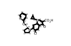 O=C(O)c1cn(C2CC2)c2cc(N3CCC[C@@H]3COc3ccccn3)c(Cl)cc2c1=O